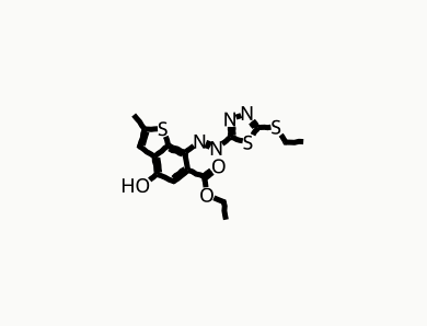 CCOC(=O)c1cc(O)c2cc(C)sc2c1/N=N/c1nnc(SCC)s1